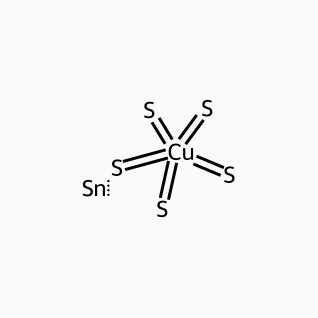 [S]=[Cu](=[S])(=[S])(=[S])=[S].[Sn]